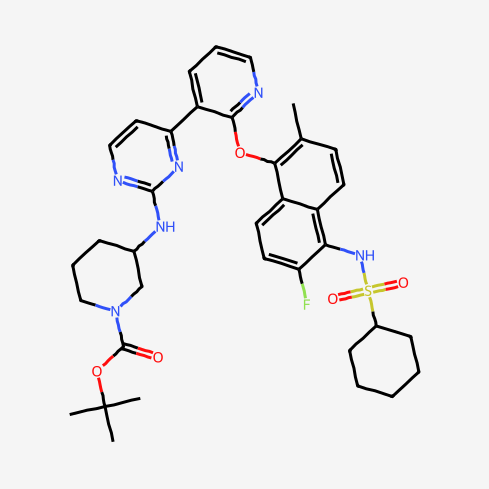 Cc1ccc2c(NS(=O)(=O)C3CCCCC3)c(F)ccc2c1Oc1ncccc1-c1ccnc(NC2CCCN(C(=O)OC(C)(C)C)C2)n1